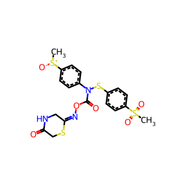 C[S+]([O-])c1ccc(N(Sc2ccc(S(C)(=O)=O)cc2)C(=O)ON=C2CNC(=O)CS2)cc1